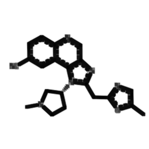 Cc1cnc(Cc2nc3cnc4ccc(C#N)cc4c3n2[C@@H]2CCN(C)C2)o1